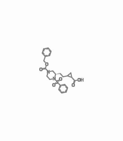 O=C(O)C1CC1CC[C@H]1CN(C(=O)OCc2ccccc2)CCN1S(=O)(=O)c1ccccc1